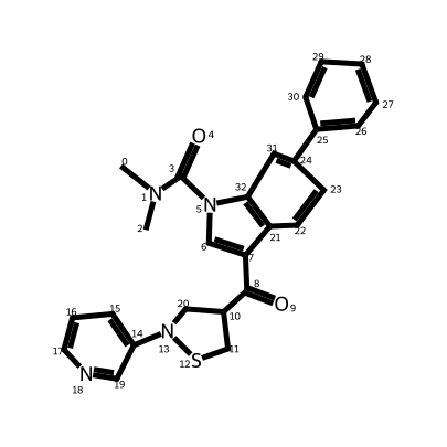 CN(C)C(=O)n1cc(C(=O)C2CSN(c3cccnc3)C2)c2ccc(-c3ccccc3)cc21